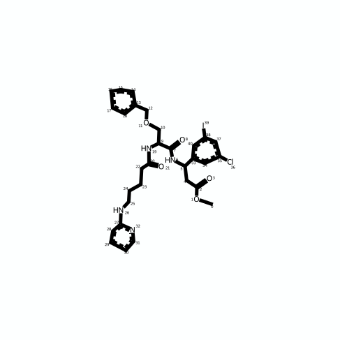 COC(=O)CC(NC(=O)C(COCc1ccccc1)NC(=O)CCCCNc1ccccn1)c1cc(Cl)cc(I)c1